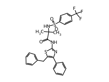 CC(C)(NS(=O)(=O)c1ccc(C(F)(F)F)cc1)C(=O)Nc1nc(-c2ccccc2)c(Cc2ccccc2)s1